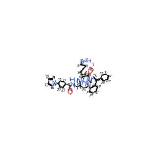 NCCC[C@@H]1N[C@H](CNC(=O)c2ccc(-n3cccc3)cc2)CCN(CC(c2ccccc2)c2ccccc2)C1=O